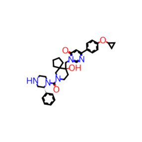 O=C(N1CC[C@@](O)(Cn2cnc(-c3ccc(OC4CC4)cc3)cc2=O)C2(CCCC2)C1)N1CCNC[C@H]1c1ccccc1